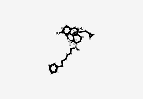 CN(CCCCCCc1ccccc1)[C@@H]1CC[C@@]2(O)[C@H]3Cc4ccc(O)c5c4[C@@]2(CCN3CC2CC2)[C@H]1O5